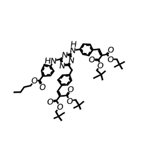 CCCCOC(=O)c1ccc(Nc2nc(Cc3ccc(C=C(C(=O)OCC(C)(C)C)C(=O)OCC(C)(C)C)cc3)nc(Nc3ccc(C=C(C(=O)OCC(C)(C)C)C(=O)OCC(C)(C)C)cc3)n2)cc1